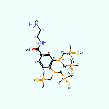 CP(C)(=S)CP(CP(C)(C)=S)c1ccc(C(=O)NCCN)cc1P(CP(C)(C)=S)CP(C)(=S)I